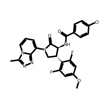 COc1cc(F)c([C@@H]2CN(c3cccn4c(C)nnc34)C(=O)[C@H]2NC(=O)c2ccc(Cl)cc2)c(F)c1